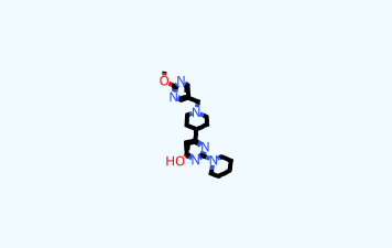 COc1ncc(CN2CCC(c3cc(O)nc(N4CCCCC4)n3)CC2)cn1